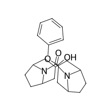 O=C(N1C2CCC1CC(O)C2)N1C2CCC1CC(Oc1ccccc1)C2